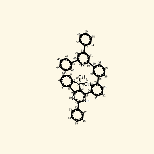 C[Si]1(C)c2ccccc2-c2nc(-c3ccccc3)nc(-c3cccc(-c4cccc(-c5cc(-c6ccccc6)cc(-c6ccccc6)n5)c4)c3)c21